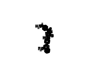 C[C@@H](N)c1ccc(-c2c3ncn(CC4(O)CCN(C(=O)CC(c5ccccc5)C(F)(F)F)CC4)c(=O)c3nn2C)cc1